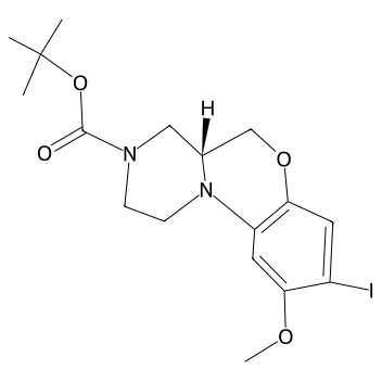 COc1cc2c(cc1I)OC[C@H]1CN(C(=O)OC(C)(C)C)CCN21